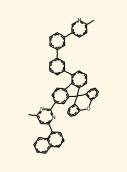 Cc1ccc(-c2cccc(-c3cccc(-c4cccc5c4-c4ccc(-c6nc(C)cc(-c7cccc8ccccc78)n6)cc4C54c5ccccc5Oc5ccccc54)c3)c2)cn1